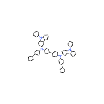 C1=CC2C3=C(CCC(N(c4ccc(-c5ccccc5)cc4)c4ccc(-c5ccc(N(c6ccc(-c7ccccc7)cc6)c6ccc7c(c6)c6ccccc6n7-c6ccccc6)cc5)cc4)=C3)N(c3ccccc3)C2C=C1